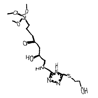 CO[Si](CCCC(=O)CC(O)CNc1nnc(SCCO)[nH]1)(OC)OC